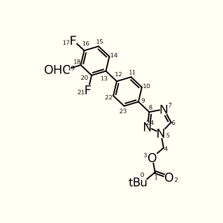 CC(C)(C)C(=O)OCn1cnc(-c2ccc(-c3ccc(F)c(C=O)c3F)cc2)n1